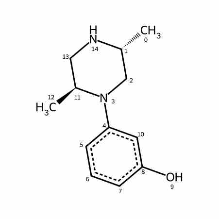 C[C@@H]1CN(c2cccc(O)c2)[C@@H](C)CN1